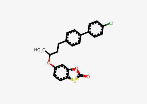 O=C(O)C(CCc1ccc(-c2ccc(Cl)cc2)cc1)Oc1ccc2sc(=O)oc2c1